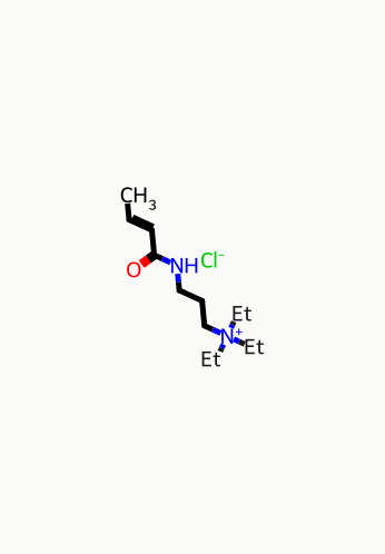 CC=CC(=O)NCCC[N+](CC)(CC)CC.[Cl-]